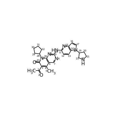 CC(=O)c1c(C)c2cnc(Nc3ccc4c(ccn4C4CCNC4)n3)nc2n(C2CCCC2)c1=O